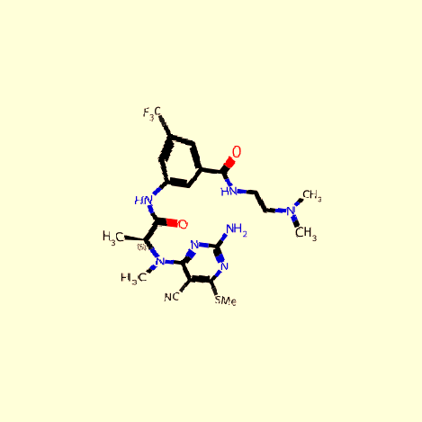 CSc1nc(N)nc(N(C)[C@@H](C)C(=O)Nc2cc(C(=O)NCCN(C)C)cc(C(F)(F)F)c2)c1C#N